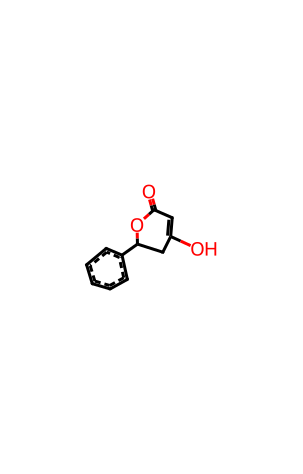 O=C1C=C(O)CC(c2ccccc2)O1